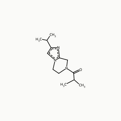 CC(C)C(=O)N1CCn2cc(C(C)C)nc2C1